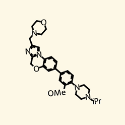 COc1cc(-c2ccc3c(c2)OCc2nc(CN4CCOCC4)cn2-3)ccc1N1CCN(C(C)C)CC1